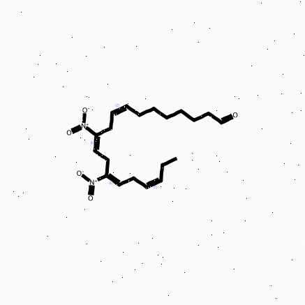 CC/C=C\C/C=C(\C/C=C(\C/C=C\CCCCCC[C]=O)[N+](=O)[O-])[N+](=O)[O-]